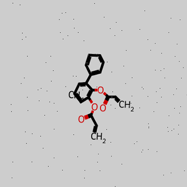 C.C=CC(=O)Oc1cccc(-c2ccccc2)c1OC(=O)C=C